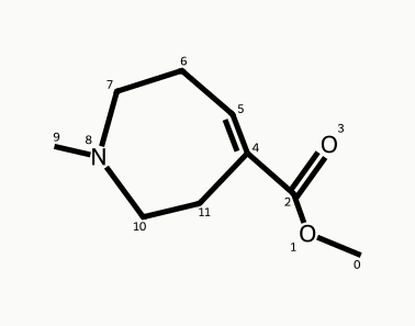 COC(=O)C1=CCCN(C)CC1